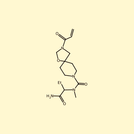 C=CC(=O)N1COC2(CCN(C(=O)N(C)C(CC)C(N)=O)CC2)C1